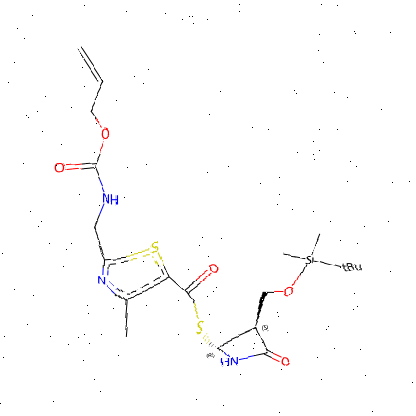 C=CCOC(=O)NCc1nc(C)c(C(=O)S[C@H]2NC(=O)[C@@H]2CO[Si](C)(C)C(C)(C)C)s1